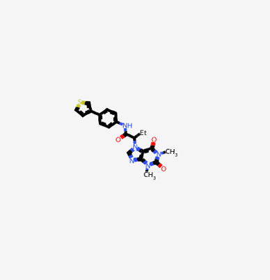 CCC(C(=O)Nc1ccc(-c2ccsc2)cc1)n1cnc2c1c(=O)n(C)c(=O)n2C